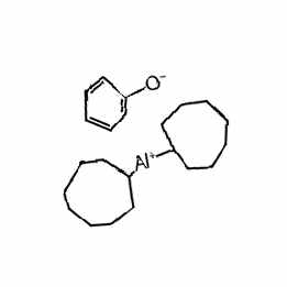 C1CCC[CH]([Al+][CH]2CCCCCCC2)CCC1.[O-]c1ccccc1